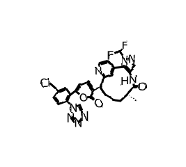 C[C@@H]1CCC[C@@H](c2ccc(-c3cc(Cl)ccc3-n3cnnn3)oc2=O)c2cc(ccn2)-c2c(cnn2C(F)F)NC1=O